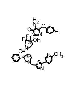 Cc1ccc(-c2ncc(CN3CC[C@@H](C(=O)N4CC[C@](O)(Cn5cnc(Oc6ccc(F)cc6)c(N)c5=O)C(F)(F)C4)[C@H](c4ccccc4)C3)s2)cn1